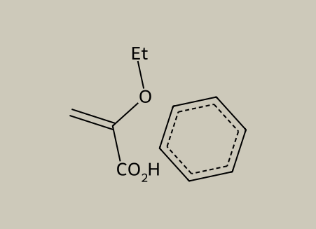 C=C(OCC)C(=O)O.c1ccccc1